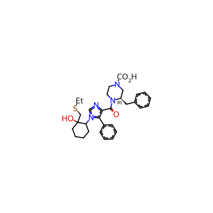 CCSCC1(O)CCCCC1n1cnc(C(=O)N2CCN(C(=O)O)C[C@H]2Cc2ccccc2)c1-c1ccccc1